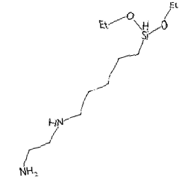 CCO[SiH](CCCCCNCCN)OCC